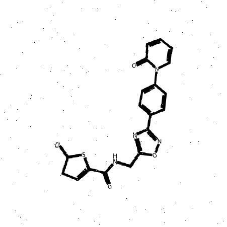 O=C(NCc1nc(-c2ccc(-n3ccccc3=O)cc2)no1)C1=CCC(Cl)S1